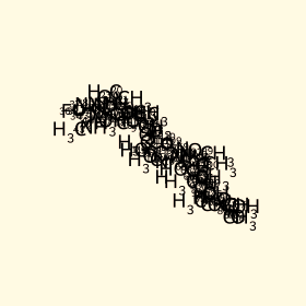 CC[C@H](CC[C@@]1(C)[C@H](C)CC[C@]2(C)[C@@H]1CC[C@@H]1C3=C(C(C)C)C(=O)C[C@]3([C@@H](O)c3nnc(-c4ccc(F)cn4)n3CCNC)CC[C@]12C)OC(=O)CC(C)(Cc1cc(-c2nnc(C(O)[C@@]34CC[C@]5(C)[C@H](CC[C@@H]6[C@@]7(C)CC[C@H](OC(=O)CC(C)(C)C(=O)O)C(C)(C)[C@@H]7CC[C@]65C)C3=C(C(C)C)C(=O)C4)n2CCNC)ccc1F)C(=O)O